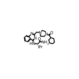 CC(C)[C@H](Nc1nc(CN2CCN(C(=O)C3CCCCC3)CC2)nc2ccccc12)C(N)=O